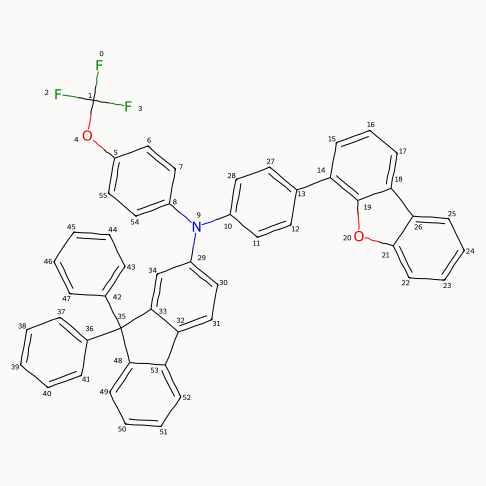 FC(F)(F)Oc1ccc(N(c2ccc(-c3cccc4c3oc3ccccc34)cc2)c2ccc3c(c2)C(c2ccccc2)(c2ccccc2)c2ccccc2-3)cc1